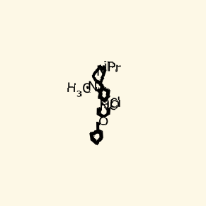 CC(C)N1C2CCC1c1c(n(C)c3cc(-n4ccc(OCc5ccccc5)cc4=O)ccc13)C2.Cl